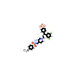 CS(=O)(=O)c1ccc([C@@H](CCN2CCC(CNS(=O)(=O)c3ccc([N+](=O)[O-])cc3)CC2)c2cc(F)cc(F)c2)cc1